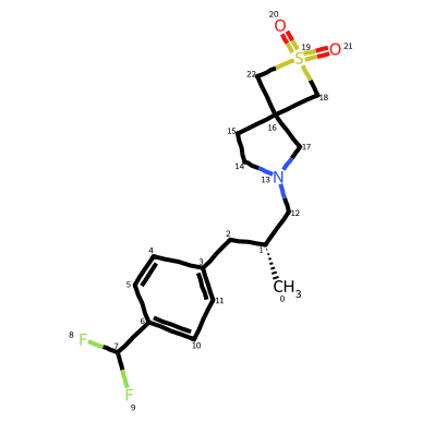 C[C@H](Cc1ccc(C(F)F)cc1)CN1CCC2(C1)CS(=O)(=O)C2